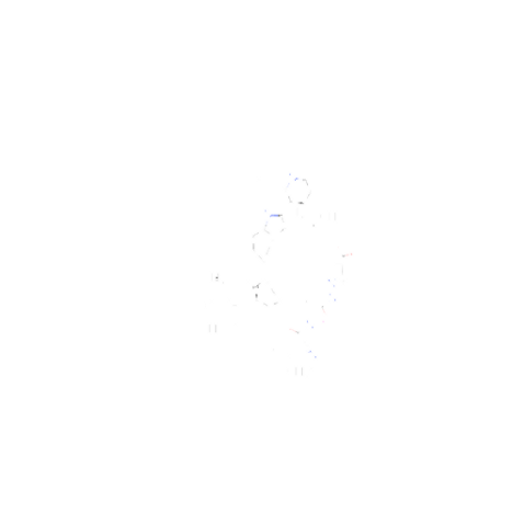 CCc1ncccc1-c1c2c3cc(ccc3n1CC)-c1cc(cc(O[Si](C(C)C)(C(C)C)C(C)C)c1)C[C@H](NC(=O)[C@@H](NC)C(C)C)C(=O)N1CCC[C@H](N1)C(=O)OCC(C)(C)C2